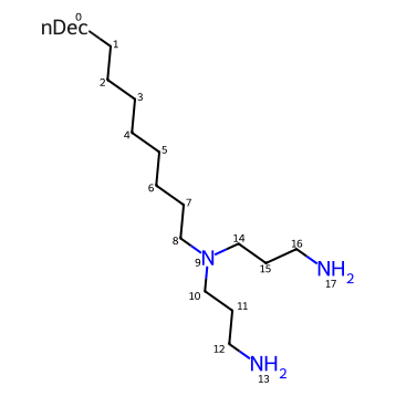 CCCCCCCCCCCCCCCCCCN(CCCN)CCCN